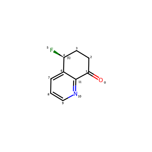 O=C1CC[C@H](F)c2cccnc21